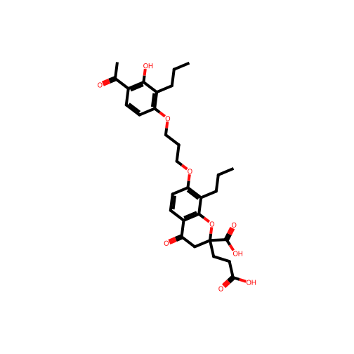 CCCc1c(OCCCOc2ccc3c(c2CCC)OC(CCC(=O)O)(C(=O)O)CC3=O)ccc(C(C)=O)c1O